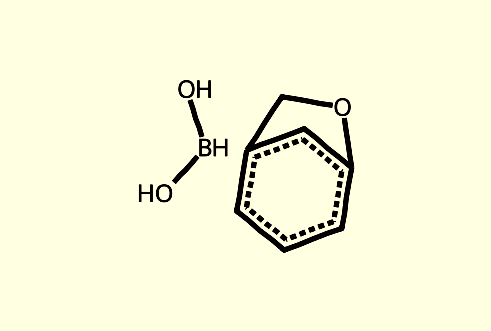 OBO.c1cc2cc(c1)OC2